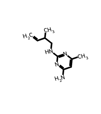 C=CC(C)CNc1nc(C)cc(N)n1